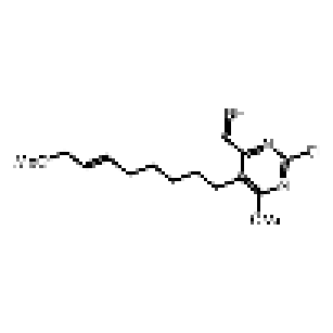 COC/C=C/CCCCCc1c(C=N)nc(Cl)nc1OC